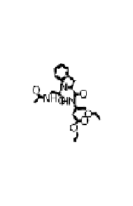 CCOC=C(CC(=O)OCC)NC(=O)[C@@H]1Cc2ccccc2N1C(=O)CNC(C)=O